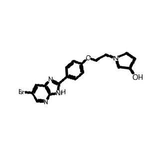 OC1CCN(CCOc2ccc(-c3nc4cc(Br)cnc4[nH]3)cc2)C1